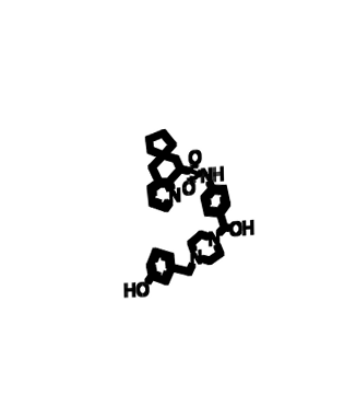 O=S(=O)(Nc1ccc(C(O)N2CCN(Cc3cccc(O)c3)CC2)cc1)C1CC2(CCCC2)Cc2cccnc21